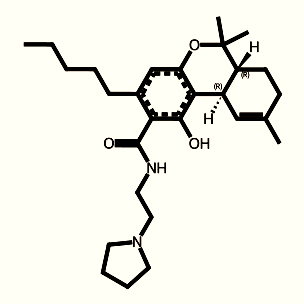 CCCCCc1cc2c(c(O)c1C(=O)NCCN1CCCC1)[C@@H]1C=C(C)CC[C@H]1C(C)(C)O2